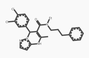 CCN(CCCc1ccccc1)C(=O)C1=C(C)Nc2ccnn2C1c1ccc(Cl)c(Cl)c1